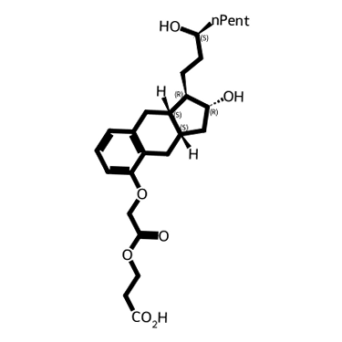 CCCCC[C@H](O)CC[C@@H]1[C@H]2Cc3cccc(OCC(=O)OCCC(=O)O)c3C[C@H]2C[C@H]1O